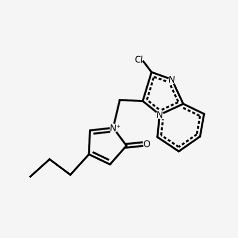 CCCC1=CC(=O)[N+](Cc2c(Cl)nc3ccccn23)=C1